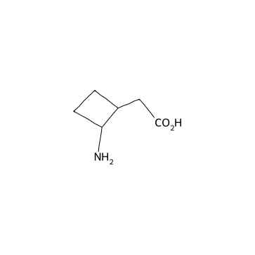 NC1CCC1CC(=O)O